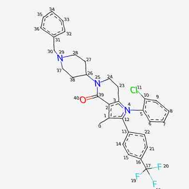 Cc1c2c(n(-c3ccccc3Cl)c1-c1ccc(C(F)(F)F)cc1)CCN(C1CCN(Cc3ccccc3)CC1)C2=O